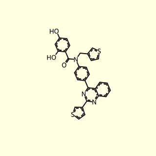 O=C(c1ccc(O)cc1O)N(Cc1ccsc1)c1ccc(-c2nc(-c3ccsc3)nc3ccccc23)cc1